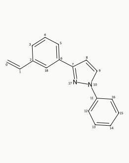 C=Cc1cccc(-c2ccn(-c3ccccc3)n2)c1